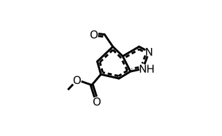 COC(=O)c1cc(C=O)c2cn[nH]c2c1